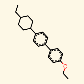 CCOc1ccc(-c2ccc(C3CCC(CC)CC3)cc2)cc1